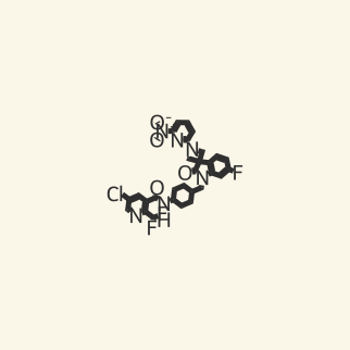 O=C(NC1CCC(CN2C(=O)C3(CN(c4cccc([N+](=O)[O-])n4)C3)c3ccc(F)cc32)CC1)c1cc(Cl)cnc1C(F)F